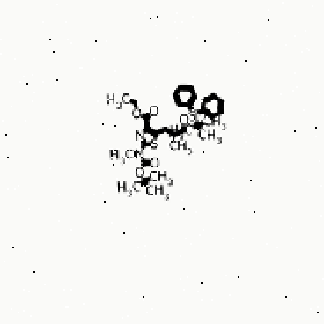 CCOC(=O)c1nc(N(C)C(=O)OC(C)(C)C)sc1C[C@H](C)CO[Si](c1ccccc1)(c1ccccc1)C(C)(C)C